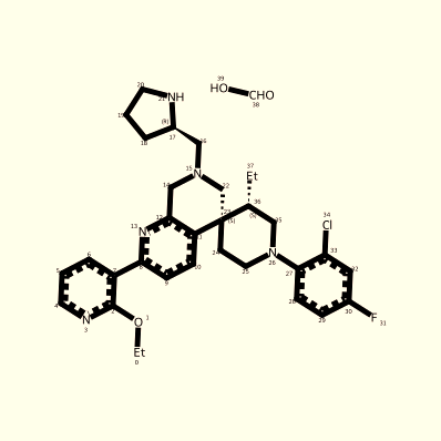 CCOc1ncccc1-c1ccc2c(n1)CN(C[C@H]1CCCN1)C[C@]21CCN(c2ccc(F)cc2Cl)C[C@H]1CC.O=CO